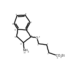 CCOC(=O)CCCOC1c2ccccc2CC1N